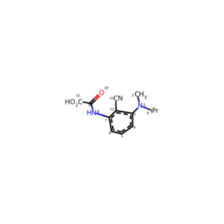 CC(C)N(C)c1cccc(NC(=O)C(=O)O)c1C#N